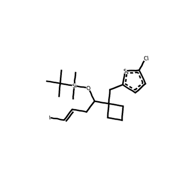 CC(C)(C)[Si](C)(C)OC(CC=CI)C1(Cc2ccc(Cl)s2)CCC1